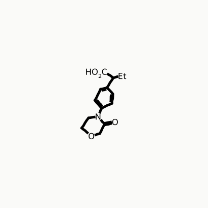 CCC(C(=O)O)c1ccc(N2CCOCC2=O)cc1